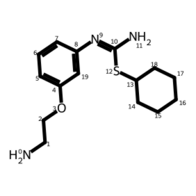 NCCOc1cccc(N=C(N)SC2CCCCC2)c1